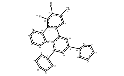 N#Cc1cc(-c2nc(-c3ccccc3)nc(-c3ccccc3)n2)c(-c2ccccc2)c(F)c1F